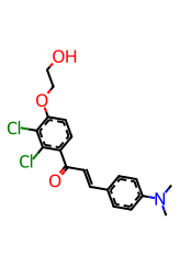 CN(C)c1ccc(C=CC(=O)c2ccc(OCCO)c(Cl)c2Cl)cc1